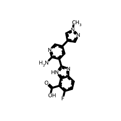 Cn1cc(-c2cnc(N)c(-c3nc4ccc(F)c(C(=O)O)c4[nH]3)c2)cn1